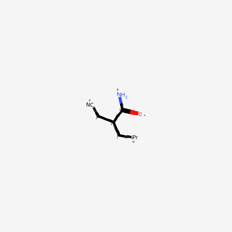 CC(C)CC(CC#N)C(N)=O